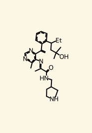 C=C(c1ccccc1C(CC)CC(C)(C)O)c1ncnc(C)c1/N=C(\C)C(=O)NCC1CCNCC1